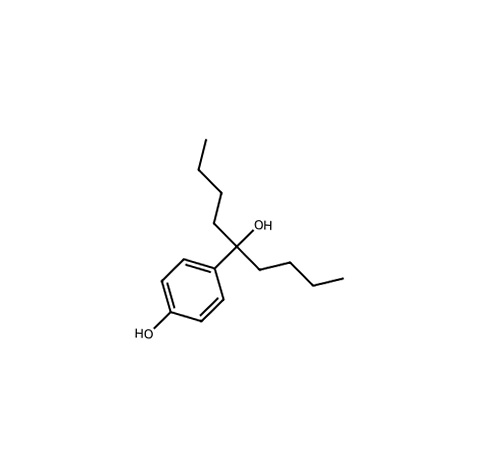 CCCCC(O)(CCCC)c1ccc(O)cc1